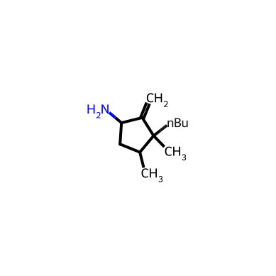 C=C1C(N)CC(C)C1(C)CCCC